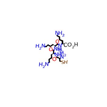 NCCCC[C@H](NC(=O)[C@H](CCCCN)NC(=O)[C@H](CCCCN)NC(=O)[C@@H](N)CS)C(=O)O